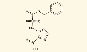 O=C(O)c1ncsc1NS(=O)(=O)C(=O)OCc1ccccc1